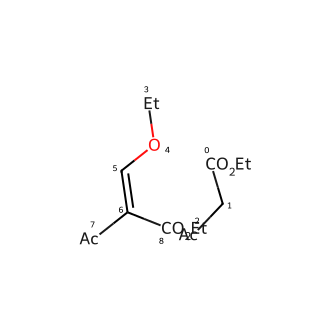 CCOC(=O)CC(C)=O.CCOC=C(C(C)=O)C(=O)OCC